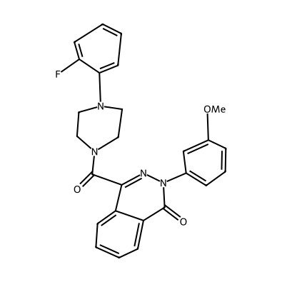 COc1cccc(-n2nc(C(=O)N3CCN(c4ccccc4F)CC3)c3ccccc3c2=O)c1